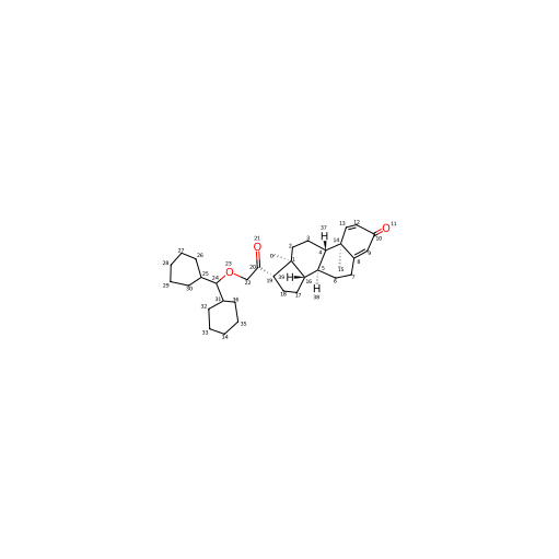 C[C@]12CC[C@H]3[C@@H](CCC4=CC(=O)C=C[C@@]43C)[C@@H]1CC[C@@H]2C(=O)COC(C1CCCCC1)C1CCCCC1